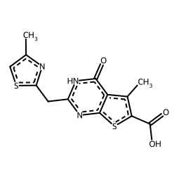 Cc1csc(Cc2nc3sc(C(=O)O)c(C)c3c(=O)[nH]2)n1